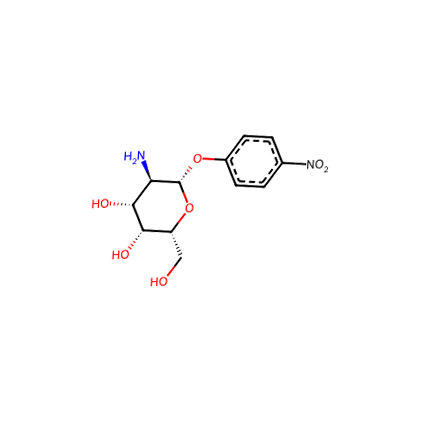 N[C@H]1[C@H](Oc2ccc([N+](=O)[O-])cc2)O[C@H](CO)[C@H](O)[C@@H]1O